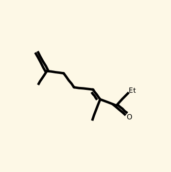 C=C(C)CCC=C(C)C(=O)CC